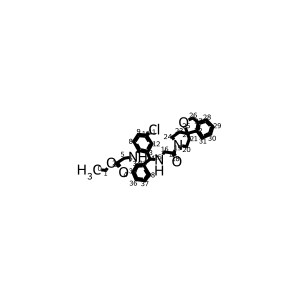 CCOC(=O)CNc1ccc(Cl)cc1C(NCC(=O)N1CCC2(CC1)OCc1ccccc12)c1ccccc1